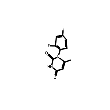 Cc1cc(=O)[nH]c(=O)n1-c1ccc(I)cc1F